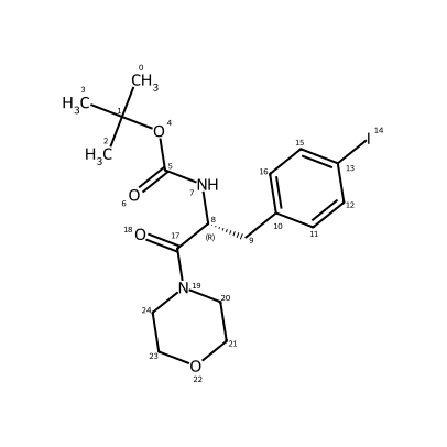 CC(C)(C)OC(=O)N[C@H](Cc1ccc(I)cc1)C(=O)N1CCOCC1